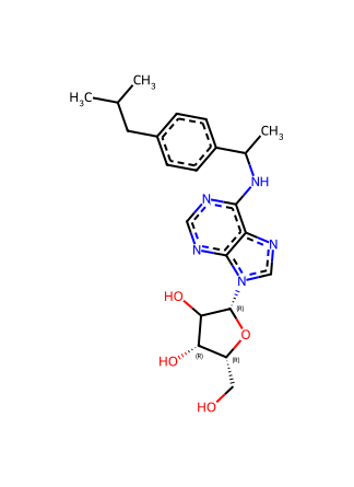 CC(C)Cc1ccc(C(C)Nc2ncnc3c2ncn3[C@@H]2O[C@H](CO)[C@H](O)C2O)cc1